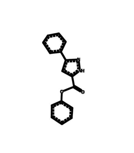 O=C(Oc1ccccc1)c1cc(-c2ccccc2)n[nH]1